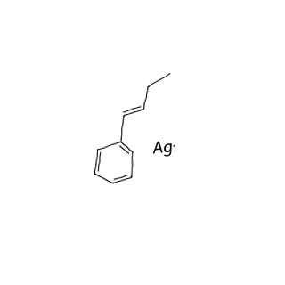 CCC=Cc1ccccc1.[Ag]